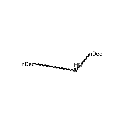 CCCCCCCCCCCCCCCCCCCCCCCCCCCCCCCCCC[N+](C)(C)CCCNCCCCCCCCCCCCCCCCCC